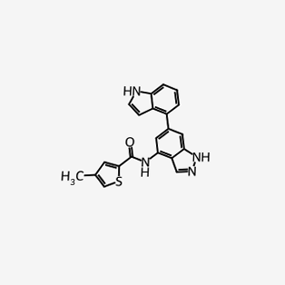 Cc1csc(C(=O)Nc2cc(-c3cccc4[nH]ccc34)cc3[nH]ncc23)c1